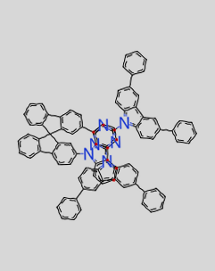 c1ccc(-c2ccc3c(c2)c2cc(-c4ccccc4)ccc2n3-c2nc(-c3ccc4c(c3)C3(c5ccccc5-4)c4ccccc4-c4ccc(-n5c6ccccc6c6ccccc65)cc43)nc(-n3c4ccc(-c5ccccc5)cc4c4cc(-c5ccccc5)ccc43)n2)cc1